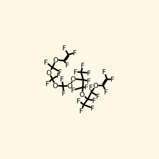 FC(F)=C(F)OC(F)(F)OC(F)(F)OC(F)(F)OOC(F)(C(F)(F)F)C(F)(F)OC(F)(C(F)(F)F)C(F)(F)OC(F)=C(F)F